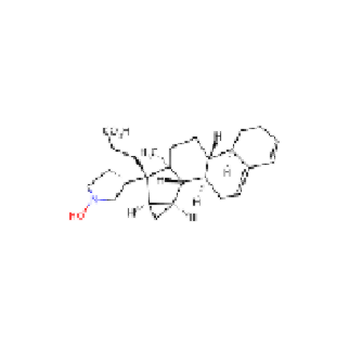 C[C@]12CC[C@H]3[C@@H](CC=C4C=CCC[C@@H]43)[C@@H]1[C@H]1C[C@H]1[C@]2(CCC(=O)O)[C@H]1CCN(O)C1